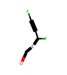 O=C=C=C(F)C#CF